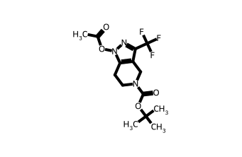 CC(=O)On1nc(C(F)(F)F)c2c1CCN(C(=O)OC(C)(C)C)C2